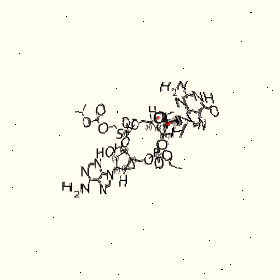 CCO[P@]1(=O)OC[C@@]23C[C@@H]2[C@@H](n2cnc4c(N)ncnc42)[C@H](O)[C@@H]3O[P@](=O)(SCOC(=O)OC(C)C)OC[C@H]2O[C@@H](n3cnc4c(=O)[nH]c(N)nc43)[C@H](O1)[C@@H]2OC